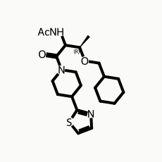 CC(=O)NC(C(=O)N1CCC(c2nccs2)CC1)[C@@H](C)OCC1CCCCC1